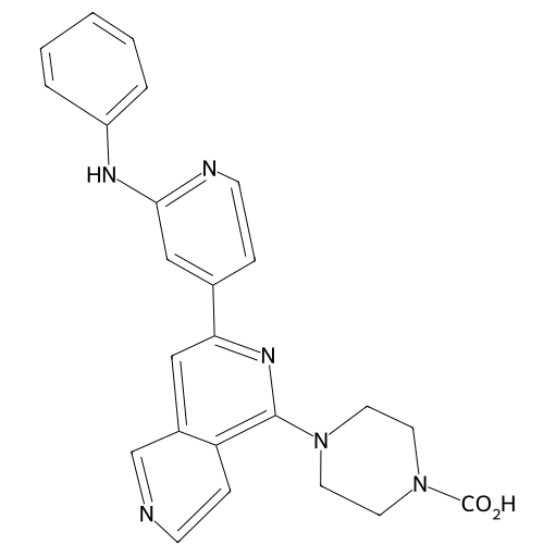 O=C(O)N1CCN(c2nc(-c3ccnc(Nc4ccccc4)c3)cc3cnccc23)CC1